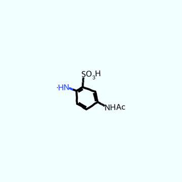 CC(=O)Nc1ccc([NH])c(S(=O)(=O)O)c1